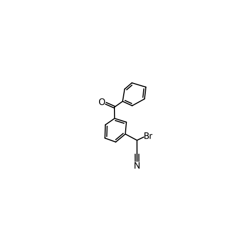 N#CC(Br)c1cccc(C(=O)c2ccccc2)c1